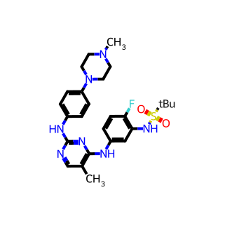 Cc1cnc(Nc2ccc(N3CCN(C)CC3)cc2)nc1Nc1ccc(F)c(NS(=O)(=O)C(C)(C)C)c1